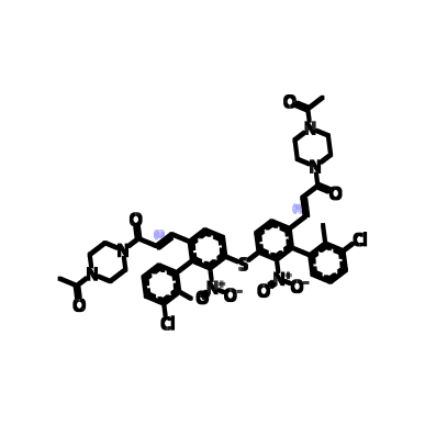 CC(=O)N1CCN(C(=O)/C=C/c2ccc(Sc3ccc(/C=C/C(=O)N4CCN(C(C)=O)CC4)c(-c4cccc(Cl)c4C)c3[N+](=O)[O-])c([N+](=O)[O-])c2-c2cccc(Cl)c2C)CC1